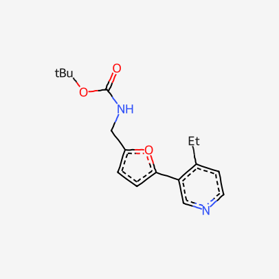 CCc1ccncc1-c1ccc(CNC(=O)OC(C)(C)C)o1